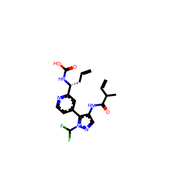 C=CC[C@@H](NC(=O)O)c1cc(-c2c(NC(=O)C(C)C=C)cnn2C(F)F)ccn1